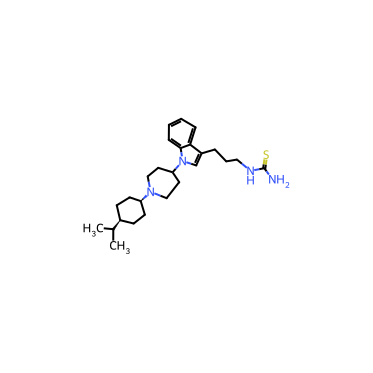 CC(C)[C@H]1CC[C@@H](N2CCC(n3cc(CCCNC(N)=S)c4ccccc43)CC2)CC1